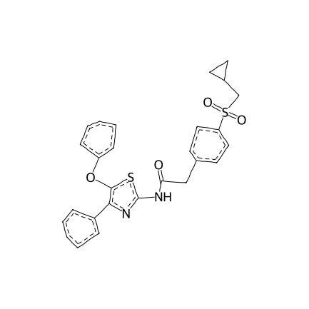 O=C(Cc1ccc(S(=O)(=O)CC2CC2)cc1)Nc1nc(-c2ccccc2)c(Oc2ccccc2)s1